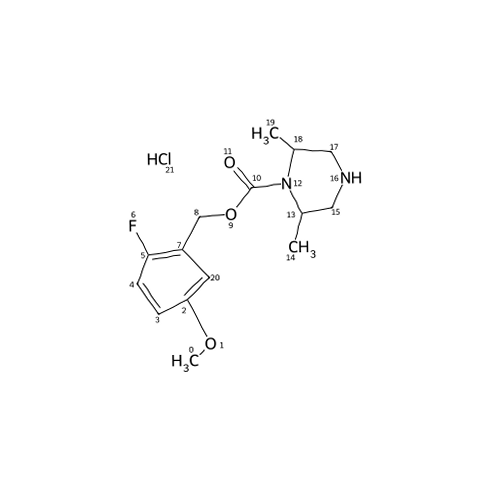 COc1ccc(F)c(COC(=O)N2C(C)CNCC2C)c1.Cl